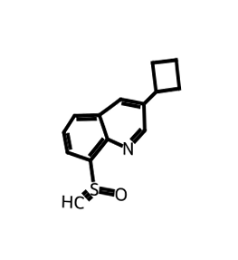 C#S(=O)c1cccc2cc(C3CCC3)cnc12